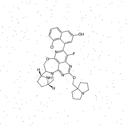 Oc1cc(-c2nc3c4c(nc(OCC56CCCN5CCC6)nc4c2F)N2C[C@@H]4CC[C@@H](N4)C2CO3)c2c(Cl)cccc2c1